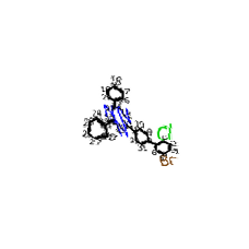 Clc1ccc(Br)cc1-c1ccc(-c2nc(-c3ccccc3)nc(-c3ccccc3)n2)cc1